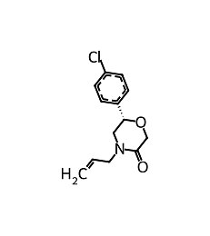 C=CCN1C[C@H](c2ccc(Cl)cc2)OCC1=O